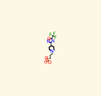 O=S(=O)([O-])CCC[n+]1ccc(-c2noc(C(F)(F)F)n2)cc1